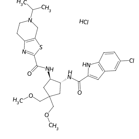 COCC1(COC)C[C@@H](NC(=O)c2cc3cc(Cl)ccc3[nH]2)[C@H](NC(=O)c2nc3c(s2)CN(C(C)C)CC3)C1.Cl